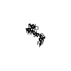 COc1cnc(Cl)cc1-c1cc(C)ncc1C(=O)Nc1nc2c(s1)CN(C(=O)c1ccc(OC(F)F)nc1OC)C2